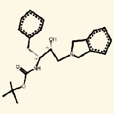 CC(C)(C)OC(=O)N[C@H](Cc1ccccc1)[C@H](O)CN1Cc2ccccc2C1